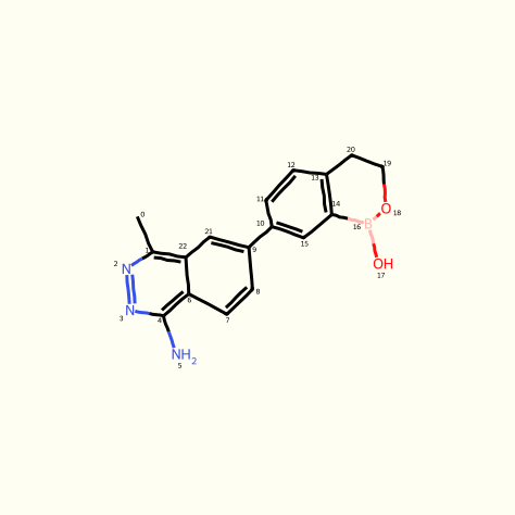 Cc1nnc(N)c2ccc(-c3ccc4c(c3)B(O)OCC4)cc12